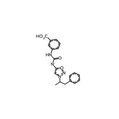 CC(Cc1ccccc1)[n+]1cc([N-]C(=O)Nc2cccc(C(=O)O)c2)on1